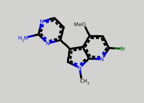 COc1cc(Br)nc2c1c(-c1ccnc(N)n1)cn2C